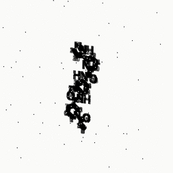 C=CC(=O)N1CCC[C@@H](C(=O)Nc2ccc(NC(=O)c3cccc(-c4ccn[nH]4)n3)cc2F)C1